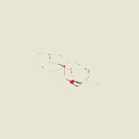 CC(C)(C)OC(=O)N1C2CCC1CN(c1ccc(N)cn1)C2